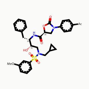 COc1cccc(S(=O)(=O)N(CC2CC2)C[C@H](O)[C@H](Cc2ccccc2)NC(=O)[C@@H]2CN(c3ccc(C(C)=O)cc3)C(=O)O2)c1